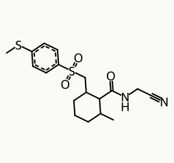 CSc1ccc(S(=O)(=O)CC2CCCC(C)C2C(=O)NCC#N)cc1